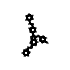 Ic1ccc(Oc2c(-c3ccc(OCc4ccccc4)cc3)sc3cc(OCc4ccccc4)ccc23)cc1